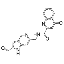 O=Cc1cc2cnc(CNC(=O)c3cc(=O)n4ccccc4n3)cc2[nH]1